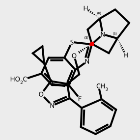 Cc1ccccc1-c1noc(C2CC2)c1CO[C@@H]1C[C@H]2CC[C@@H](C1)N2c1nc2c(F)cc(C(=O)O)cc2s1